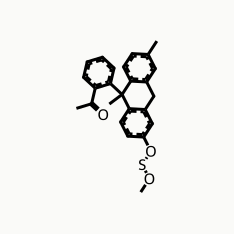 COSOc1ccc2c(c1)Cc1cc(C)ccc1C2(C)c1ccccc1C(C)=O